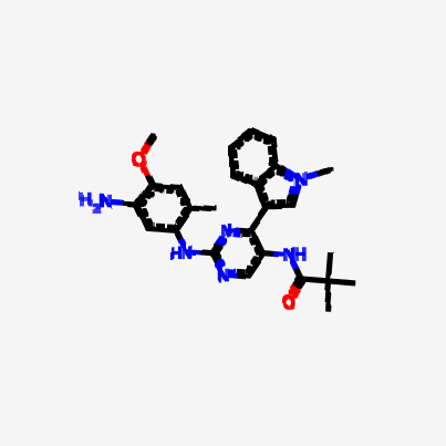 COc1cc(C)c(Nc2ncc(NC(=O)C(C)(C)C)c(-c3cn(C)c4ccccc34)n2)cc1N